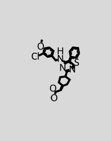 COC(=O)C=C1CCC(c2nc(NCc3ccc(OC)c(Cl)c3)c3c(n2)sc2ccccc23)CC1